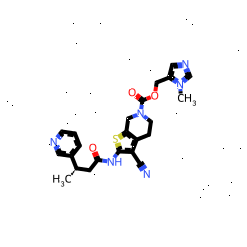 C[C@@H](CC(=O)Nc1sc2c(c1C#N)CCN(C(=O)OCc1cncn1C)C2)c1cccnc1